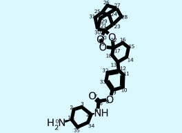 N[C@H]1CC[C@H](NC(=O)Oc2ccc(C3CCCC4(C3)OOC3(O4)C4CC5CC(C4)CC3C5)cc2)CC1